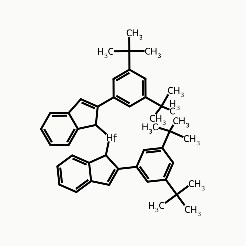 CC(C)(C)c1cc(C2=Cc3ccccc3[CH]2[Hf][CH]2C(c3cc(C(C)(C)C)cc(C(C)(C)C)c3)=Cc3ccccc32)cc(C(C)(C)C)c1